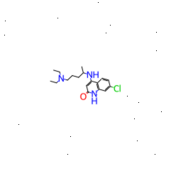 CCN(CC)CCCC(C)Nc1cc(=O)[nH]c2cc(Cl)ccc12